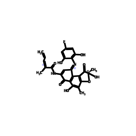 C=C/C=C(/C)C(=O)NC1=C/C(=N\c2c(O)cc(F)cc2O)c2c(c(O)c(C)c3c2C(=O)[C@@](C)(O)O3)C1=O